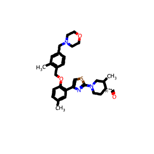 Cc1ccc(OCc2ccc(CN3CCOCC3)cc2C)c(-c2csc(N3CC[C@@H](C=O)C(C)C3)n2)c1